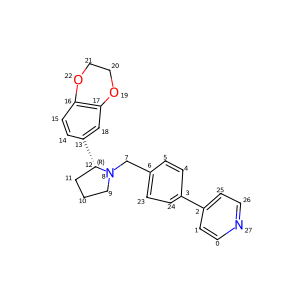 c1cc(-c2ccc(CN3CCC[C@@H]3c3ccc4c(c3)OCCO4)cc2)ccn1